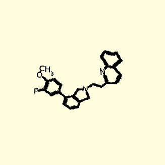 COc1ccc(-c2cccc3c2CN(CCc2ccc4ccccc4n2)C3)cc1F